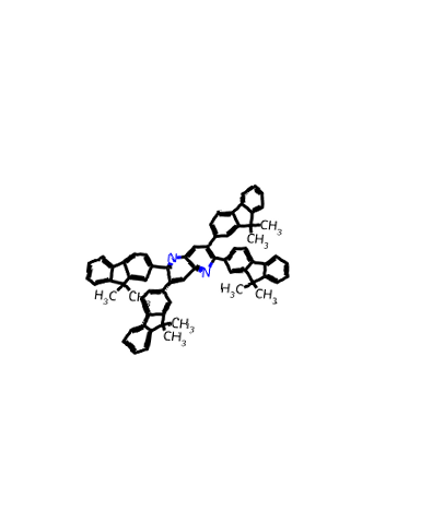 CC1(C)c2ccccc2-c2ccc(-c3cc4nc(-c5ccc6c(c5)C(C)(C)c5ccccc5-6)c(-c5ccc6c(c5)C(C)(C)c5ccccc5-6)cc4nc3-c3ccc4c(c3)C(C)(C)c3ccccc3-4)cc21